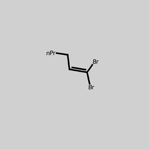 CCCCC=C(Br)Br